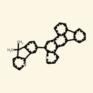 CC1(C)c2ccc(-c3cc4c5cccc6c5c(cc4c4ccccc34)-c3ccccc3-6)cc2-c2ncccc21